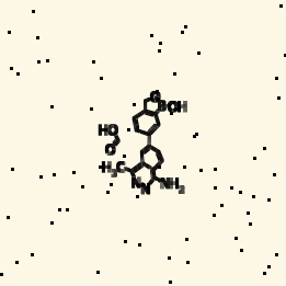 Cc1nnc(N)c2ccc(-c3ccc4c(c3)B(O)OC4)cc12.O=CO